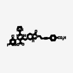 COC(=O)C1=C(CN2CCN3C(=O)N(CCC#Cc4ccc(C(=O)O)cc4)C[C@@H]3C2)NC(c2nccs2)=N[C@H]1c1ccc(F)cc1Cl